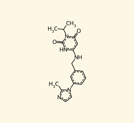 Cc1nccn1-c1cccc(CNc2cc(=O)n(C(C)C)c(=O)[nH]2)c1